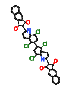 O=C1c2cc3ccccc3cc2C(=O)C1c1ccc2c(Cl)c(-c3cc(Cl)c4nc(C5C(=O)c6cc7ccccc7cc6C5=O)ccc4c3Cl)cc(Cl)c2n1